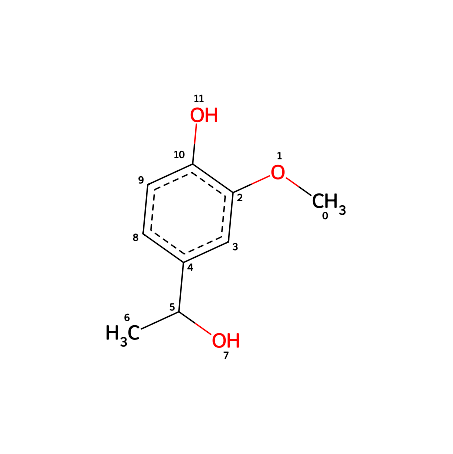 COc1cc(C(C)O)ccc1O